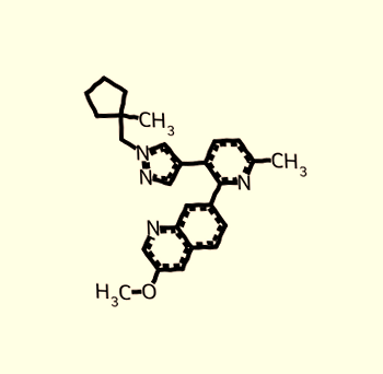 COc1cnc2cc(-c3nc(C)ccc3-c3cnn(CC4(C)CCCC4)c3)ccc2c1